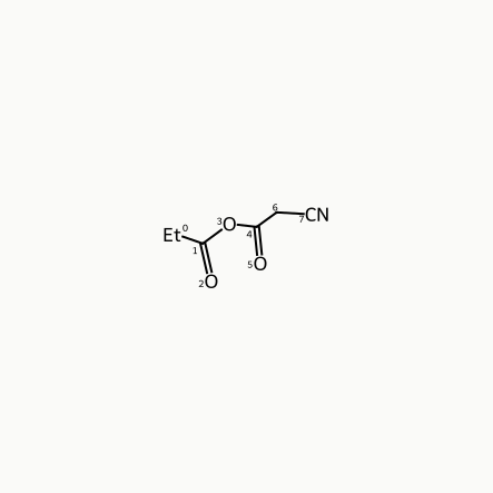 CCC(=O)OC(=O)CC#N